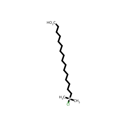 C[Si](C)(Cl)CCCCCCCCCCCCCCCC(=O)O